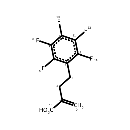 C=C(CCc1c(F)c(F)c(F)c(F)c1F)C(=O)O